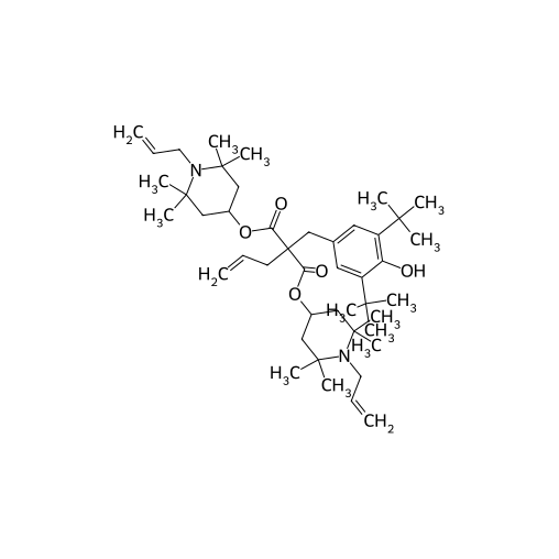 C=CCN1C(C)(C)CC(OC(=O)C(CC=C)(Cc2cc(C(C)(C)C)c(O)c(C(C)(C)C)c2)C(=O)OC2CC(C)(C)N(CC=C)C(C)(C)C2)CC1(C)C